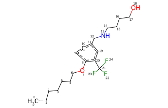 CCCCCCCOc1ccc(CNCCCCO)cc1C(F)(F)F